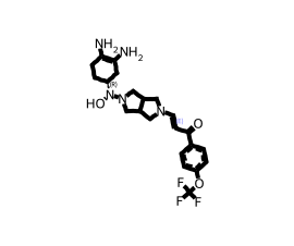 NC1=C(N)C[C@H](N(O)N2CC3CN(/C=C/C(=O)c4ccc(OC(F)(F)F)cc4)CC3C2)CC1